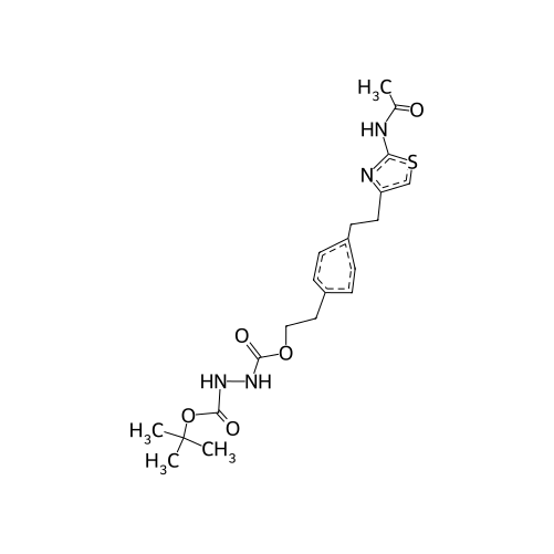 CC(=O)Nc1nc(CCc2ccc(CCOC(=O)NNC(=O)OC(C)(C)C)cc2)cs1